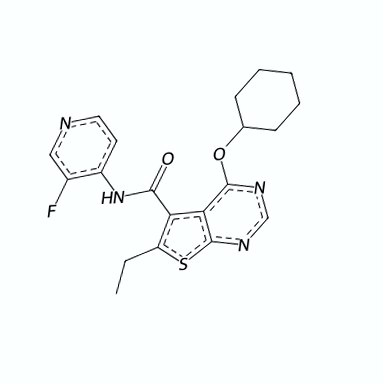 CCc1sc2ncnc(OC3CCCCC3)c2c1C(=O)Nc1ccncc1F